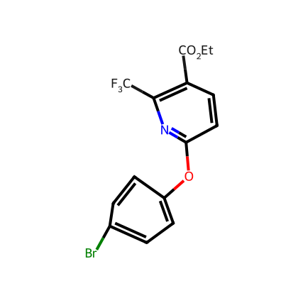 CCOC(=O)c1ccc(Oc2ccc(Br)cc2)nc1C(F)(F)F